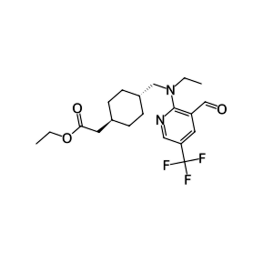 CCOC(=O)C[C@H]1CC[C@H](CN(CC)c2ncc(C(F)(F)F)cc2C=O)CC1